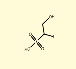 O=S(=O)(O)C(I)CO